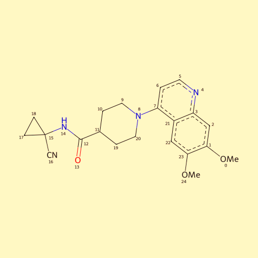 COc1cc2nccc(N3CCC(C(=O)NC4(C#N)CC4)CC3)c2cc1OC